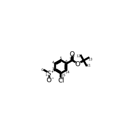 C[S+]([O-])c1ccc(C(=O)OC(C)(C)C)cc1Cl